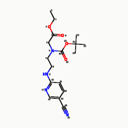 CCOC(=O)CN(CCNc1ccc(C#N)cn1)C(=O)OC(C)(C)C